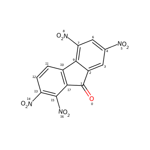 O=C1c2cc([N+](=O)[O-])cc([N+](=O)[O-])c2-c2ccc([N+](=O)[O-])c([N+](=O)[O-])c21